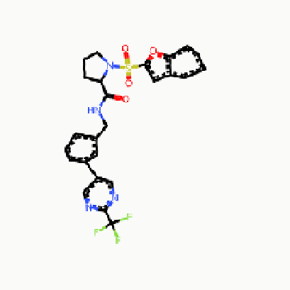 O=C(NCc1cccc(-c2cnc(C(F)(F)F)nc2)c1)C1CCCN1S(=O)(=O)c1cc2ccccc2o1